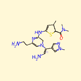 CC1C=C(NC2=NC(CCN)=CN(/C(=C\N)c3cnn(C)c3)C2)SC1C(=O)N(C)C